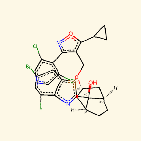 O[C@@]1(c2nc3c(F)cc(Br)cc3s2)[C@@H]2CC[C@H]1C[C@H](OCc1c(-c3c(Cl)cncc3Cl)noc1C1CC1)C2